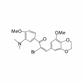 COc1ccc(C(=O)/C(Br)=C\c2cc(OC)c3c(c2)OCCO3)cc1N(C)C